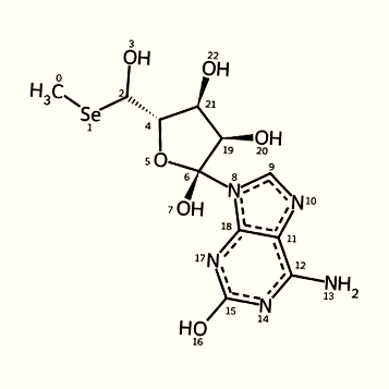 C[Se]C(O)[C@H]1O[C@@](O)(n2cnc3c(N)nc(O)nc32)[C@H](O)[C@@H]1O